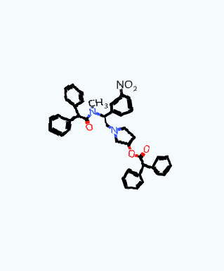 CN(C(=O)C(c1ccccc1)c1ccccc1)[C@H](CN1CCC(OC(=O)C(c2ccccc2)c2ccccc2)C1)c1cccc([N+](=O)[O-])c1